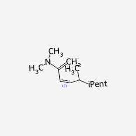 C=C(/C=C\C(C)C(C)CCC)N(C)C